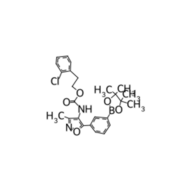 Cc1noc(-c2cccc(B3OC(C)(C)C(C)(C)O3)c2)c1NC(=O)OCCc1ccccc1Cl